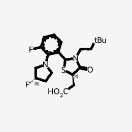 CC(C)(C)CCN1C(=O)[C@@H](CC(=O)O)SC1c1cccc(F)c1N1CC[C@H](F)C1